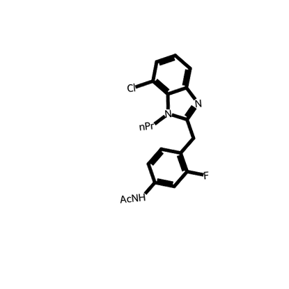 CCCn1c(Cc2ccc(NC(C)=O)cc2F)nc2cccc(Cl)c21